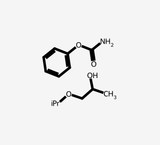 CC(O)COC(C)C.NC(=O)Oc1ccccc1